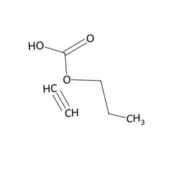 C#C.CCCOC(=O)O